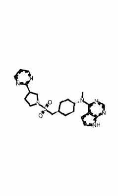 CN(c1ncnc2[nH]ccc12)[C@H]1CC[C@H](CS(=O)(=O)N2CCC(c3ncccn3)C2)CC1